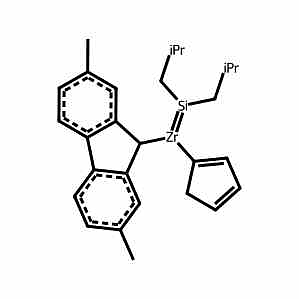 Cc1ccc2c(c1)[CH]([Zr]([C]1=CC=CC1)=[Si](CC(C)C)CC(C)C)c1cc(C)ccc1-2